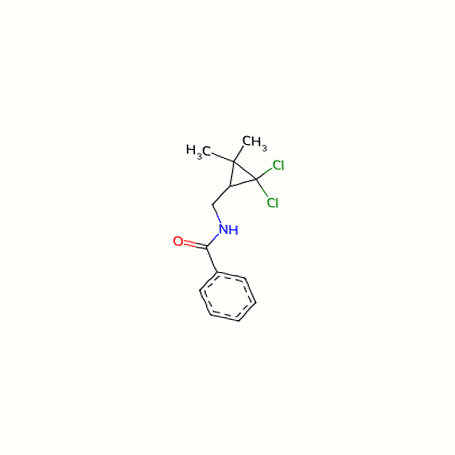 CC1(C)C(CNC(=O)c2ccccc2)C1(Cl)Cl